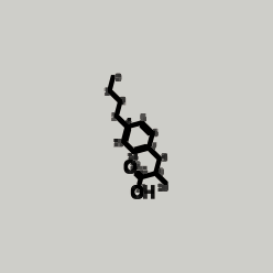 CCCCc1ccc(CC(C)C(=O)O)cc1